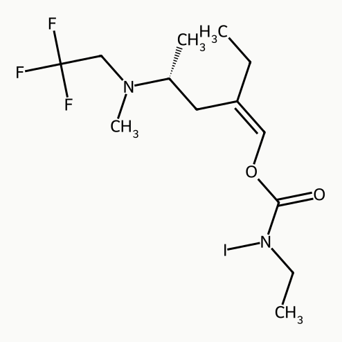 CC/C(=C/OC(=O)N(I)CC)C[C@@H](C)N(C)CC(F)(F)F